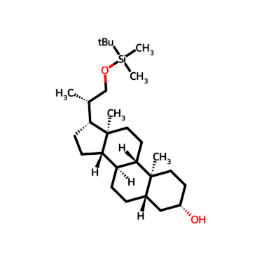 C[C@H](CO[Si](C)(C)C(C)(C)C)[C@H]1CC[C@H]2[C@@H]3CC[C@H]4C[C@@H](O)CC[C@]4(C)[C@H]3CC[C@]12C